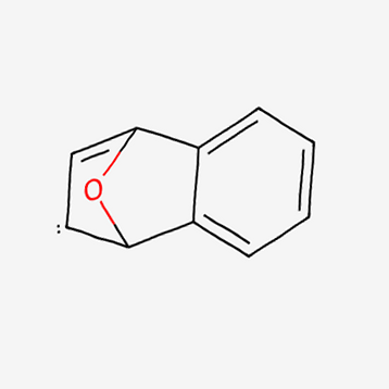 [C]1C=C2OC1c1ccccc12